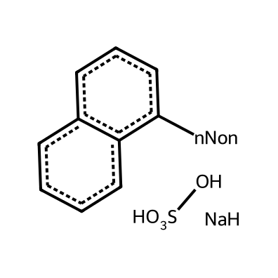 CCCCCCCCCc1cccc2ccccc12.O=S(=O)(O)O.[NaH]